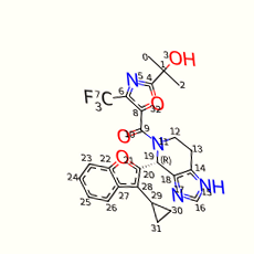 CC(C)(O)c1nc(C(F)(F)F)c(C(=O)N2CCc3[nH]cnc3[C@@H]2c2oc3ccccc3c2C2CC2)o1